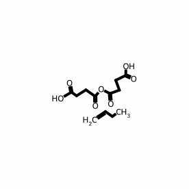 C=CCC.O=C(O)CCC(=O)OC(=O)CCC(=O)O